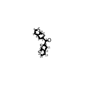 O=C(c1cc2ccsc2s1)c1cc2ccsc2s1